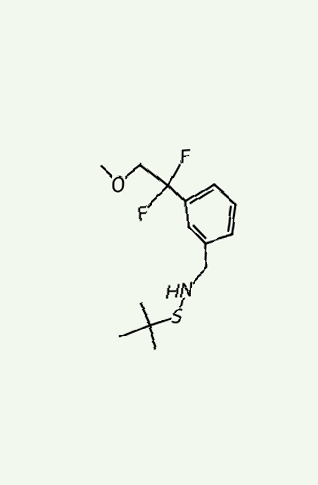 COCC(F)(F)c1cccc(CNSC(C)(C)C)c1